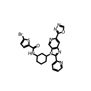 O=C(NC1CCCC(n2c(-c3ccccn3)nc3cc(-c4nnco4)ncc32)C1)c1ccc(Br)s1